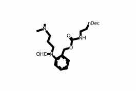 CCCCCCCCCCCCNC(=O)OCc1ccccc1N(C=O)CCCN(C)C